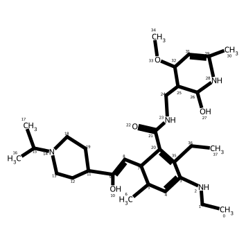 CCNC1=CC(C)C(/C=C(\O)C2CCN(C(C)C)CC2)C(C(=O)NCC2C(O)NC(C)=CC2OC)=C1CC